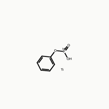 O=[PH](O)Oc1ccccc1.[Ti]